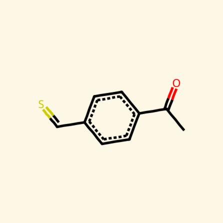 CC(=O)c1ccc(C=S)cc1